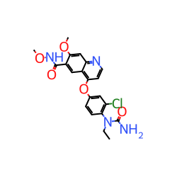 CCN(C(N)=O)c1ccc(Oc2ccnc3cc(OC)c(C(=O)NOC)cc23)cc1Cl